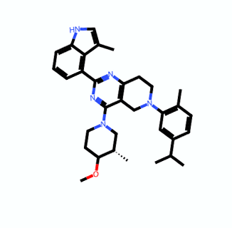 COC1CCN(c2nc(-c3cccc4[nH]cc(C)c34)nc3c2CN(c2cc(C(C)C)ccc2C)CC3)C[C@@H]1C